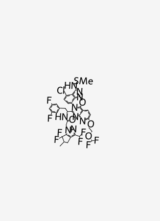 CSNc1nn(C)c2c(-n3c(C(Cc4cc(F)cc(F)c4)NC(=O)Cn4nc(C(F)F)c5c4C(F)(F)C(C)C5)nc4nc(OCCOC(F)F)ccc4c3=O)ccc(Cl)c12